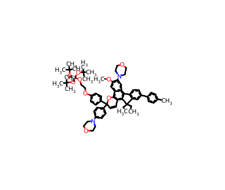 CCC1(CC)c2cc(-c3ccc(C)cc3)ccc2-c2c1c1c(c3cc(OC)c(N4CCOCC4)cc23)OC(c2ccc(OCCO[Si](OC(C)(C)C)(OC(C)(C)C)OC(C)(C)C)cc2)(c2ccc(N3CCOCC3)cc2)C=C1